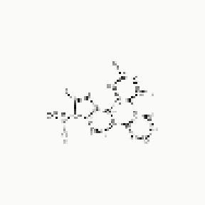 CC1=Cc2c(ccc(-c3ccccc3)c2-c2cc(C)cc(C)c2)[CH]1[Zr]([Cl])[Cl]